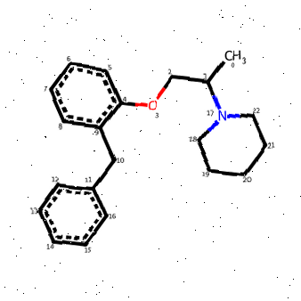 CC(COc1ccccc1Cc1ccccc1)N1CCCCC1